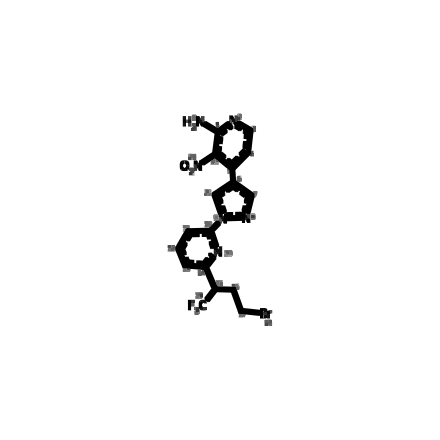 Nc1nccc(-c2cnn(-c3cccc(C(CCBr)C(F)(F)F)n3)c2)c1[N+](=O)[O-]